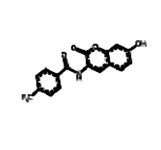 O=C(Nc1cc2ccc(O)cc2oc1=O)c1ccc(C(F)(F)F)cc1